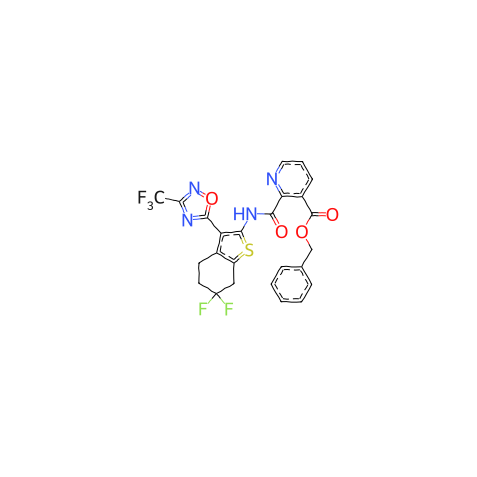 O=C(OCc1ccccc1)c1cccnc1C(=O)Nc1sc2c(c1-c1nc(C(F)(F)F)no1)CCC(F)(F)C2